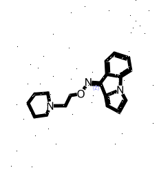 c1ccc2c(c1)/C(=N/OCCN1CCCCC1)c1cccn1-2